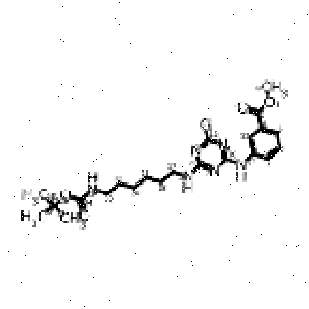 COC(=O)c1cccc(Nc2nc(Cl)nc(NCCCCCCNC(=O)OC(C)(C)C)n2)c1